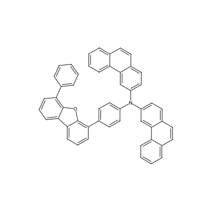 c1ccc(-c2cccc3c2oc2c(-c4ccc(N(c5ccc6ccc7ccccc7c6c5)c5ccc6ccc7ccccc7c6c5)cc4)cccc23)cc1